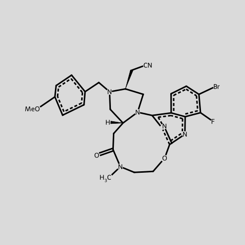 COc1ccc(CN2C[C@H]3CC(=O)N(C)CCOc4nc(c5ccc(Br)c(F)c5n4)N3C[C@@H]2CC#N)cc1